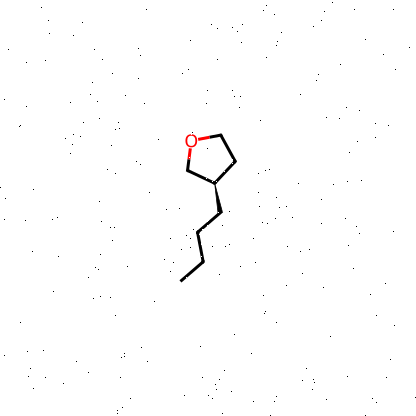 CCCC[C@@H]1CCOC1